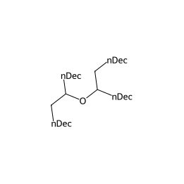 CCCCCCCCCCCC(CCCCCCCCCC)OC(CCCCCCCCCC)CCCCCCCCCCC